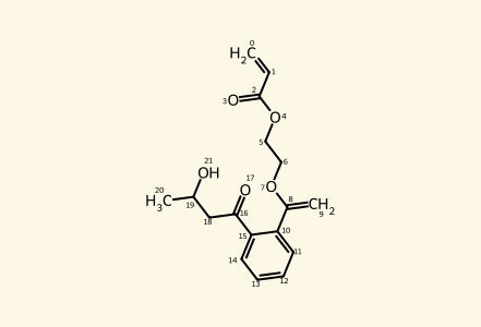 C=CC(=O)OCCOC(=C)c1ccccc1C(=O)CC(C)O